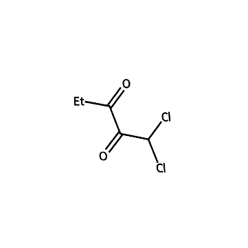 CCC(=O)C(=O)C(Cl)Cl